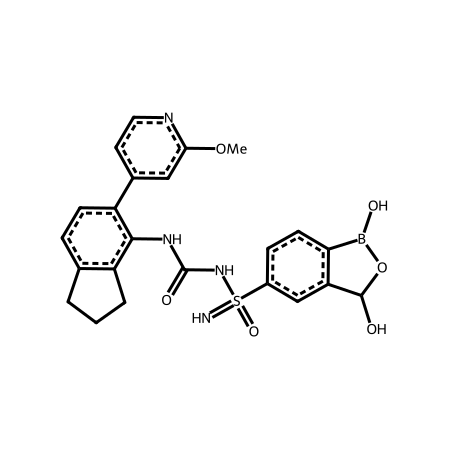 COc1cc(-c2ccc3c(c2NC(=O)NS(=N)(=O)c2ccc4c(c2)C(O)OB4O)CCC3)ccn1